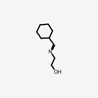 OCCN=CC1CCCCC1